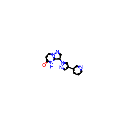 O=c1ccn2ncc(-n3cc(-c4cccnc4)cn3)c2[nH]1